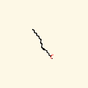 CCCCCCCCCCCC#CCCCCC(=O)OC